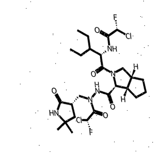 CCC(CC)[C@H](NC(=O)[C@H](F)Cl)C(=O)N1C[C@@H]2CCC[C@@H]2[C@H]1C(=O)NN(C[C@@H]1CC(C)(C)NC1=O)C(=O)[C@H](F)Cl